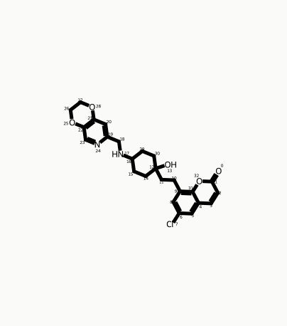 O=c1ccc2cc(Cl)cc(CCC3(O)CCC(NCc4cc5c(cn4)OCCO5)CC3)c2o1